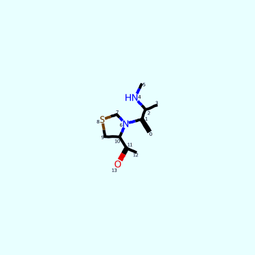 C=C(C(C)NC)N1CSCC1C(C)=O